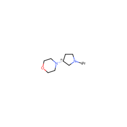 CC(C)N1CC[C@@H](N2CCOCC2)C1